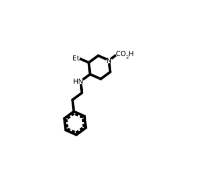 CCC1CN(C(=O)O)CCC1NCCc1ccccc1